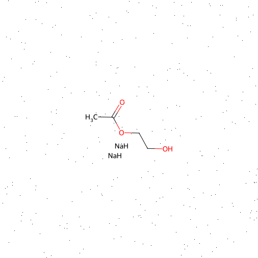 CC(=O)OCCO.[NaH].[NaH]